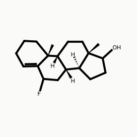 C[C@]12CCCC=C1C(F)C[C@@H]1[C@H]2CC[C@]2(C)C(O)CC[C@@H]12